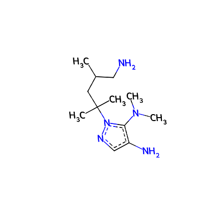 CC(CN)CC(C)(C)n1ncc(N)c1N(C)C